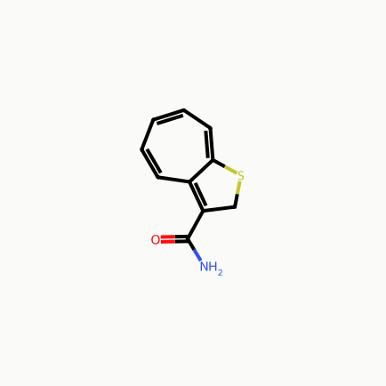 NC(=O)C1=C2C=CC=CC=C2SC1